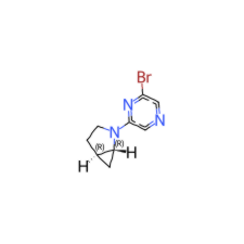 Brc1cncc(N2CC[C@@H]3C[C@H]32)n1